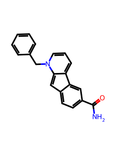 NC(=O)c1ccc2cc3n(Cc4ccccc4)cccc-3c2c1